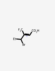 CCC(Br)/C(=C/C(=O)O)C(F)(F)F